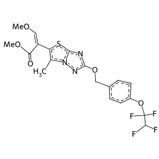 COC=C(C(=O)OC)c1sc2nc(OCc3ccc(OC(F)(F)C(F)F)cc3)nn2c1C